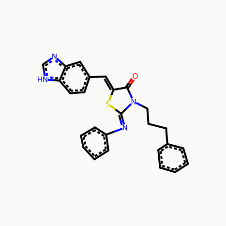 O=C1C(=Cc2ccc3[nH]cnc3c2)SC(=Nc2ccccc2)N1CCCc1ccccc1